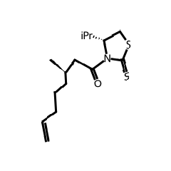 C=CCCC[C@@H](C)CC(=O)N1C(=S)SC[C@H]1C(C)C